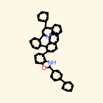 c1ccc(-c2ccc(C3Nc4c(cccc4-c4ccc5ccccc5c4-c4ccccc4-c4cc(-c5ccccc5)c5ccccc5n4)O3)cc2)cc1